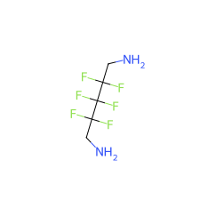 NCC(F)(F)C(F)(F)C(F)(F)CN